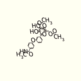 CNC(=O)c1ccc(Oc2cccc([C@H]3O[C@H](COC(C)=O)[C@H](OC(C)=O)[C@H](O)[C@@H]3O)c2)cc1